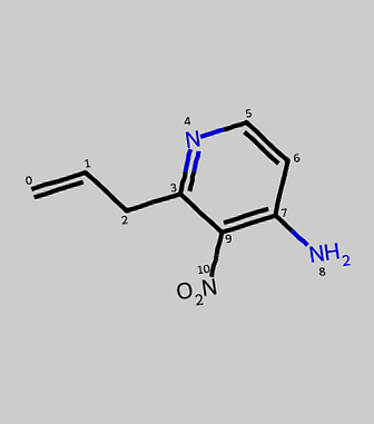 C=CCc1nccc(N)c1[N+](=O)[O-]